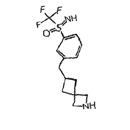 N=S(=O)(c1cccc(CC2CC3(CNC3)C2)c1)C(F)(F)F